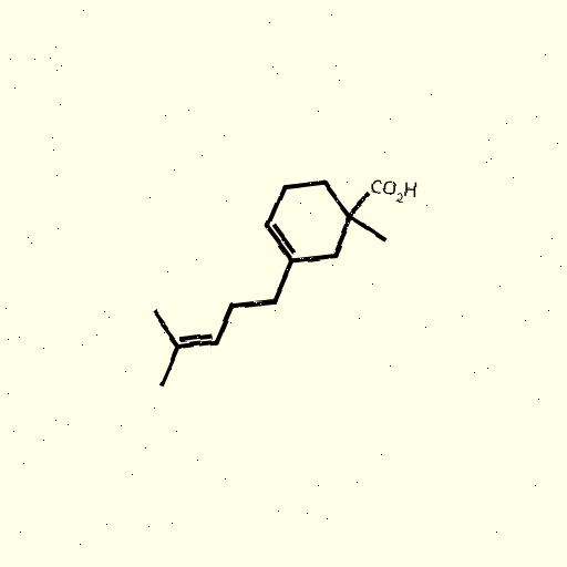 CC(C)=CCCC1=CCCC(C)(C(=O)O)C1